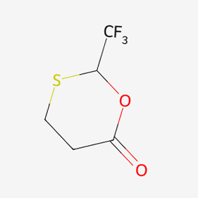 O=C1CCSC(C(F)(F)F)O1